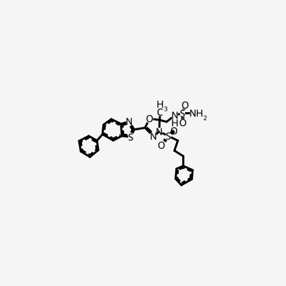 CC1(CNS(N)(=O)=O)OC(c2nc3ccc(-c4ccccc4)cc3s2)=NN1S(=O)(=O)CCCc1ccccc1